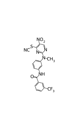 CN(c1cccc(NC(=O)c2cccc(C(F)(F)F)c2)c1)c1ncc([N+](=O)[O-])c(SC#N)n1